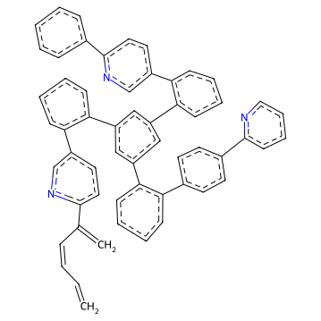 C=C/C=C\C(=C)c1ccc(-c2ccccc2-c2cc(-c3ccccc3-c3ccc(-c4ccccn4)cc3)cc(-c3ccccc3-c3ccc(-c4ccccc4)nc3)c2)cn1